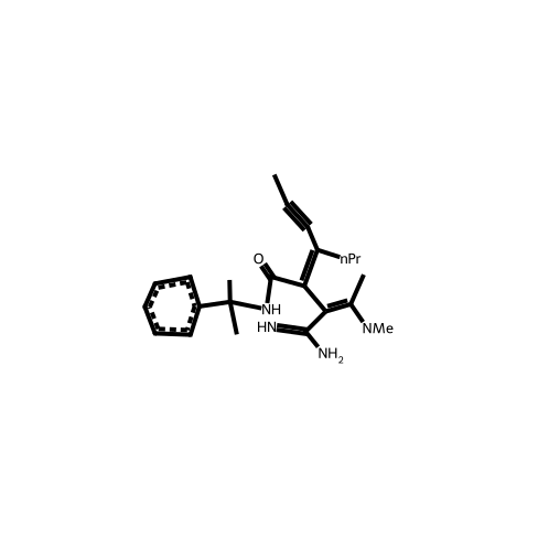 CC#C/C(CCC)=C(C(=O)NC(C)(C)c1ccccc1)/C(C(=N)N)=C(\C)NC